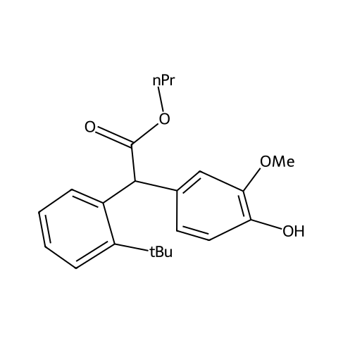 CCCOC(=O)C(c1ccc(O)c(OC)c1)c1ccccc1C(C)(C)C